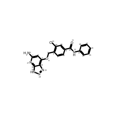 Nc1cc(OCc2ccc(C(=O)Nc3ccccc3)cc2Cl)c2nn[nH]c2n1